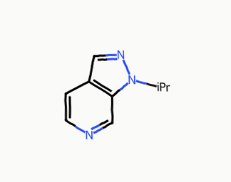 CC(C)n1ncc2ccncc21